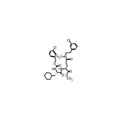 COC(=O)[C@H](CCC(=O)N(C)CCc1cccc(Cl)c1)NC(=O)[C@H](CC1CCCCC1)NC(=O)OCc1cccc(Cl)c1